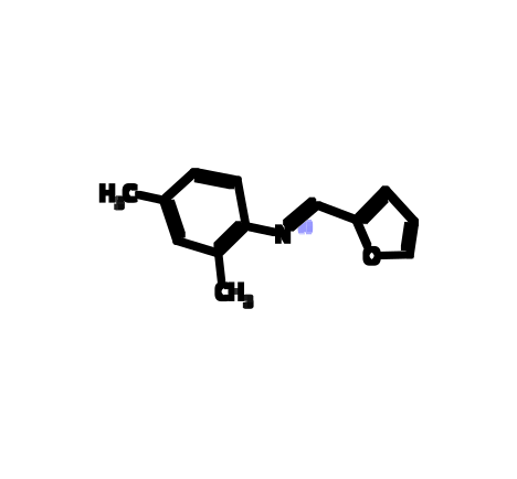 Cc1ccc(/N=C/c2ccco2)c(C)c1